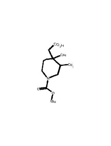 CC1CN(C(=O)OC(C)(C)C)CCC1(O)CC(=O)O